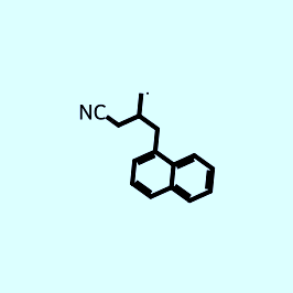 [CH2]C(CC#N)Cc1cccc2ccccc12